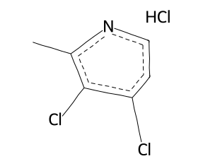 Cc1nccc(Cl)c1Cl.Cl